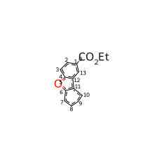 CCOC(=O)c1ccc2oc3ccccc3c2c1